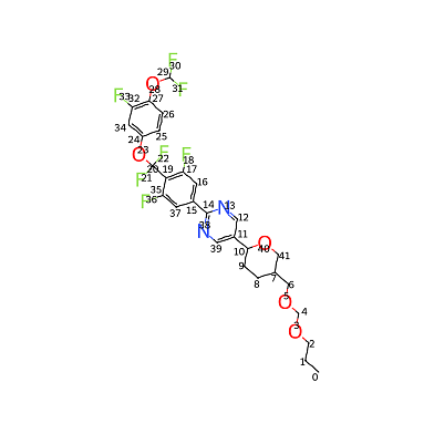 CCCOCOCC1CCC(c2cnc(-c3cc(F)c(C(F)(F)Oc4ccc(OC(F)F)c(F)c4)c(F)c3)nc2)OC1